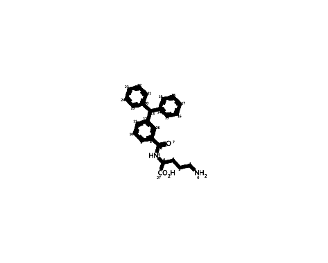 NCCCC(NC(=O)c1cccc(C(c2ccccc2)c2ccccc2)c1)C(=O)O